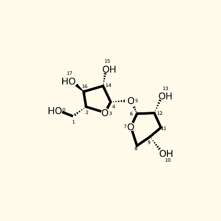 OC[C@H]1O[C@@H](O[C@H]2OC[C@@H](O)C[C@H]2O)[C@@H](O)[C@@H]1O